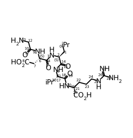 CC(C)C[C@H](NC(=O)[C@H](CC(=O)O)NC(=O)CN)C(=O)N[C@H](C(=O)N[C@@H](CCCNC(=N)N)C(=O)O)C(C)C